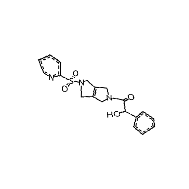 O=C(C(O)c1ccccc1)N1CC2=C(C1)CN(S(=O)(=O)c1ccccn1)C2